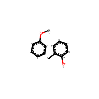 CCOc1ccccc1.Cc1ccccc1O